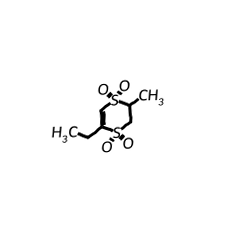 CCC1=CS(=O)(=O)C(C)CS1(=O)=O